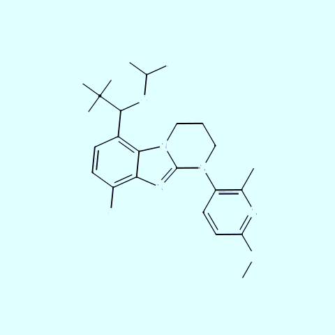 COc1ccc(N2CCCn3c2nc2c(Cl)ccc(C(OC(F)F)C(F)(F)F)c23)c(C)n1